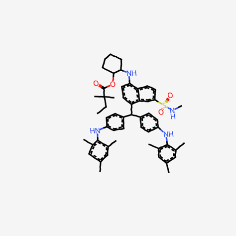 CCC(C)(C)C(=O)OC1CCCCC1Nc1ccc(C(c2ccc(Nc3c(C)cc(C)cc3C)cc2)c2ccc(Nc3c(C)cc(C)cc3C)cc2)c2cc(S(=O)(=O)NC)ccc12